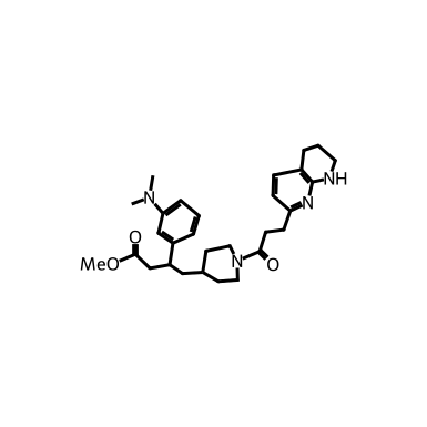 COC(=O)CC(CC1CCN(C(=O)CCc2ccc3c(n2)NCCC3)CC1)c1cccc(N(C)C)c1